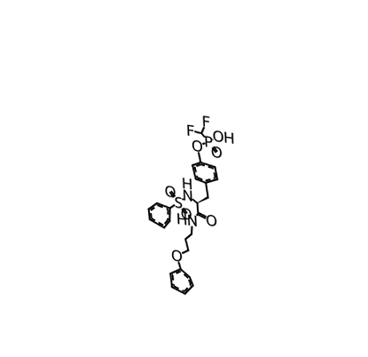 O=C(NCCCOc1ccccc1)[C@H](Cc1ccc(OP(=O)(O)C(F)F)cc1)NS(=O)(=O)c1ccccc1